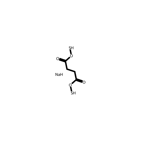 O=C(CCC(=O)OS)OS.[NaH]